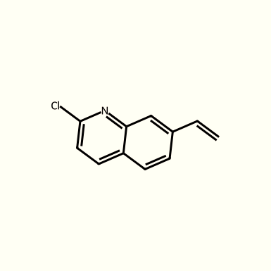 C=Cc1ccc2ccc(Cl)nc2c1